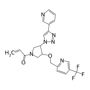 C=CC(=O)N1CC(OCc2ccc(C(F)(F)F)cn2)C(n2cc(-c3cccnc3)nn2)C1